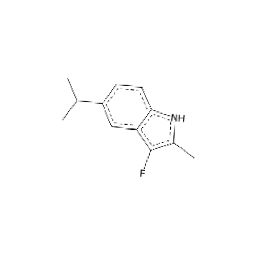 Cc1[nH]c2ccc(C(C)C)cc2c1F